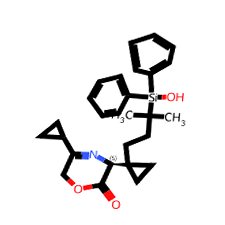 CC(C)(CCC1([C@@H]2N=C(C3CC3)COC2=O)CC1)[Si](O)(c1ccccc1)c1ccccc1